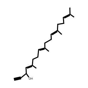 C#CC(O)/C=C(\C)CC/C=C(\C)CC/C=C(\C)CCC=C(C)C